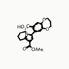 COC(=O)c1cc(-c2cc3c(cc2C(=O)O)OCCCO3)n2c1CCCC2